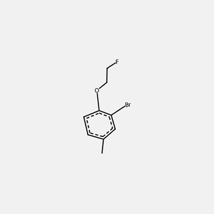 Cc1ccc(OCCF)c(Br)c1